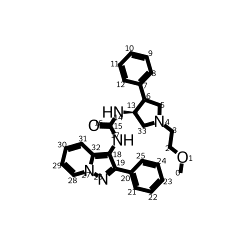 COCCN1CC(c2ccccc2)[C@H](NC(=O)Nc2c(-c3ccccc3)nn3ccccc23)C1